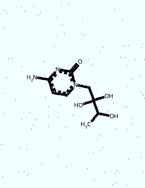 CC(O)C(O)(O)Cn1ccc(N)nc1=O